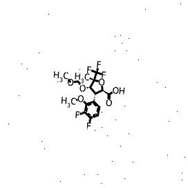 COCO[C@H]1[C@@H](c2ccc(F)c(F)c2OC)[C@H](C(=O)O)O[C@@]1(C)C(F)(F)F